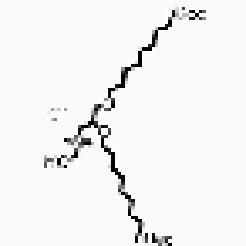 CCCCCCCCCCCCCCCCCCOCC(C[N+](C)(C)CO)OCCCCCCCCCCCCCCCCCC.[Cl-]